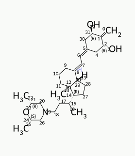 C=C1[C@H](O)CC(=C/C=C2\CCC[C@]3(C)[C@@H](C(C)CCN4C[C@@H](C)O[C@@H](C)C4)CC[C@@H]23)C[C@H]1O